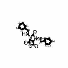 O=C1OC(=O)C2C1N(NCc1ccccc1)C(=O)N2NCc1ccccc1